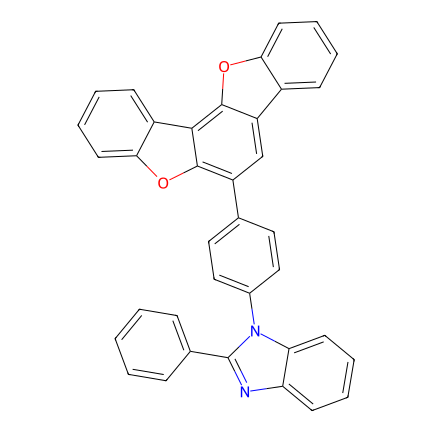 c1ccc(-c2nc3ccccc3n2-c2ccc(-c3cc4c5ccccc5oc4c4c3oc3ccccc34)cc2)cc1